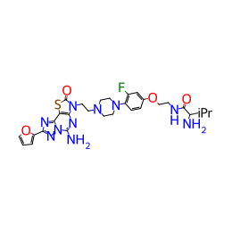 CC(C)C(N)C(=O)NCCOc1ccc(N2CCN(CCn3c(=O)sc4c3nc(N)n3nc(-c5ccco5)nc43)CC2)c(F)c1